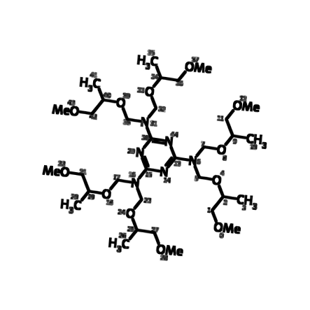 COCC(C)OCN(COC(C)COC)c1nc(N(COC(C)COC)COC(C)COC)nc(N(COC(C)COC)COC(C)COC)n1